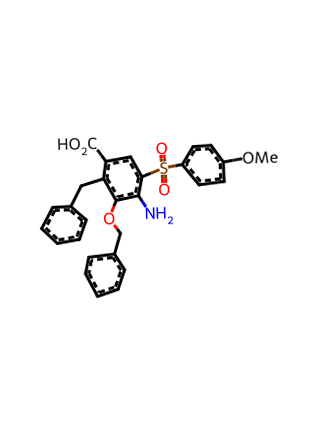 COc1ccc(S(=O)(=O)c2cc(C(=O)O)c(Cc3ccccc3)c(OCc3ccccc3)c2N)cc1